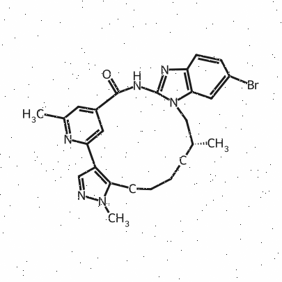 Cc1cc2cc(n1)-c1cnn(C)c1CCCC[C@@H](C)Cn1c(nc3ccc(Br)cc31)NC2=O